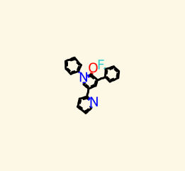 O=c1c(-c2ccccc2F)cc(-c2ccccn2)cn1-c1ccccc1